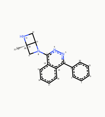 c1ccc(-c2nnc(N3C[C@H]4NCC43)c3ccccc23)cc1